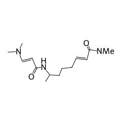 CNC(=O)/C=C/CCCC(C)NC(=O)/C=C/N(C)C